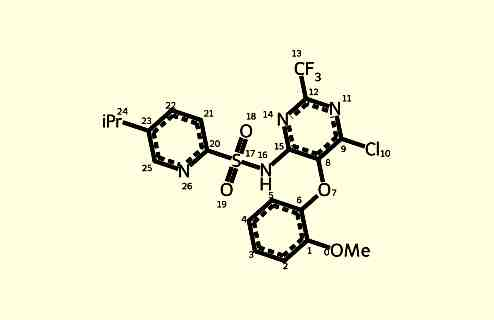 COc1ccccc1Oc1c(Cl)nc(C(F)(F)F)nc1NS(=O)(=O)c1ccc(C(C)C)cn1